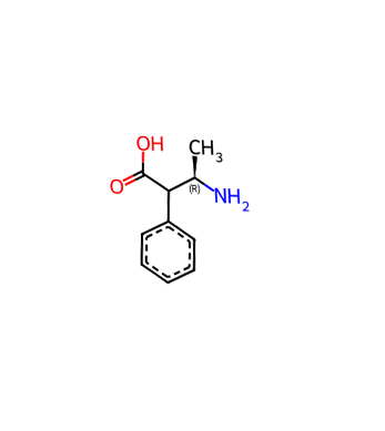 C[C@@H](N)C(C(=O)O)c1ccccc1